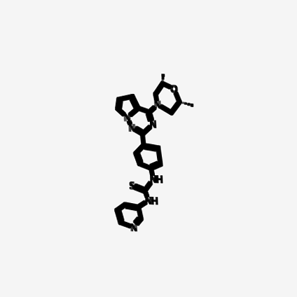 C[C@@H]1CN(c2nc(-c3ccc(NC(=S)Nc4cccnc4)cc3)nn3cccc23)C[C@H](C)O1